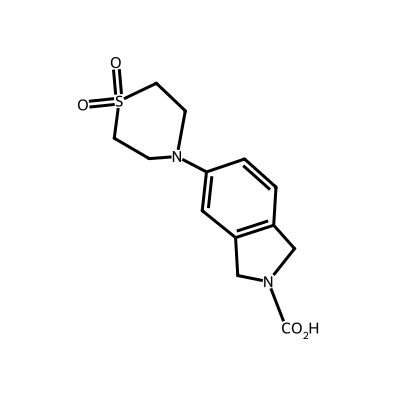 O=C(O)N1Cc2ccc(N3CCS(=O)(=O)CC3)cc2C1